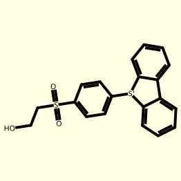 O=S(=O)(CCO)c1ccc(-[s+]2c3ccccc3c3ccccc32)cc1